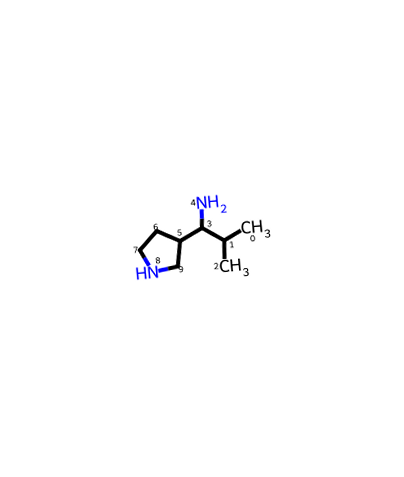 CC(C)C(N)C1CCNC1